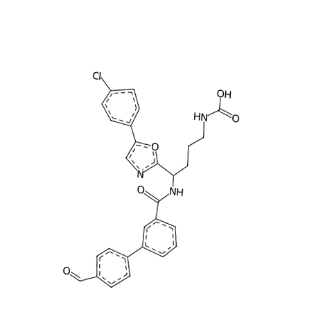 O=Cc1ccc(-c2cccc(C(=O)NC(CCCNC(=O)O)c3ncc(-c4ccc(Cl)cc4)o3)c2)cc1